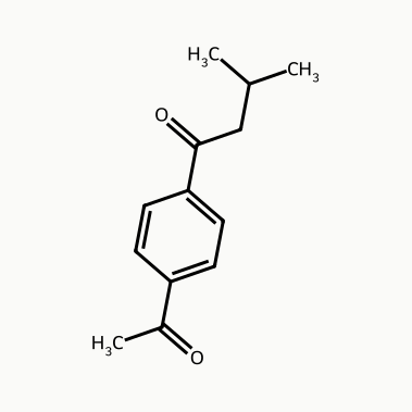 CC(=O)c1ccc(C(=O)CC(C)C)cc1